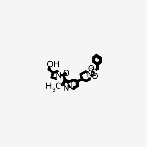 Cc1nn2ccc(C3CCN(S(=O)(=O)Cc4ccccc4)CC3)cc2c1C(=O)N1CCC(CO)C1